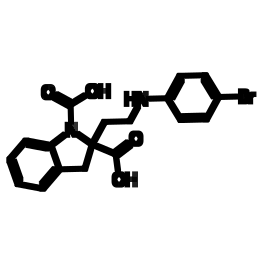 O=C(O)N1c2ccccc2CC1(CCNc1ccc(Br)cc1)C(=O)O